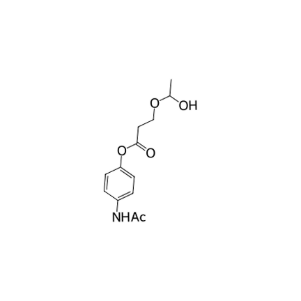 CC(=O)Nc1ccc(OC(=O)CCOC(C)O)cc1